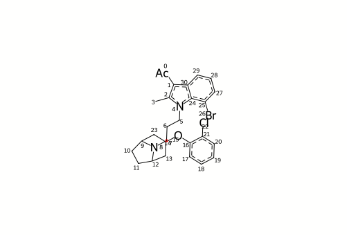 CC(=O)c1c(C)n(CCCN2C3CCC2CC(Oc2ccccc2Cl)C3)c2c(Br)cccc12